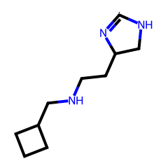 [C]1=NC(CCNCC2CCC2)CN1